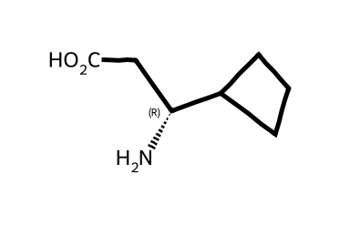 N[C@H](CC(=O)O)C1CCC1